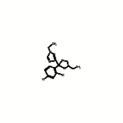 CCC1COC(c2ncn(CC)n2)(c2ccc(Cl)cc2Cl)O1